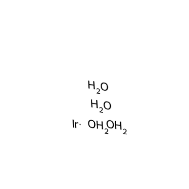 O.O.O.O.[Ir]